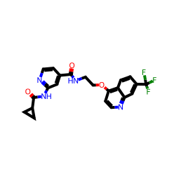 O=C(NCCOc1ccnc2cc(C(F)(F)F)ccc12)c1ccnc(NC(=O)C2CC2)c1